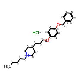 CCCCCN1CCC(CCCOc2ccc(OCc3ccccc3)cc2)CC1.Cl